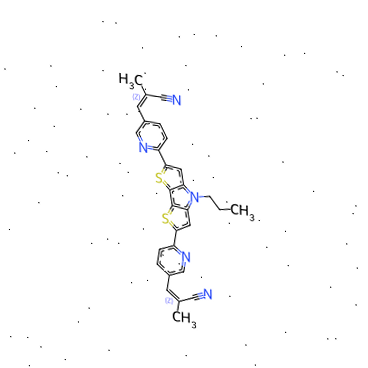 CCCn1c2cc(-c3ccc(/C=C(/C)C#N)cn3)sc2c2sc(-c3ccc(/C=C(/C)C#N)cn3)cc21